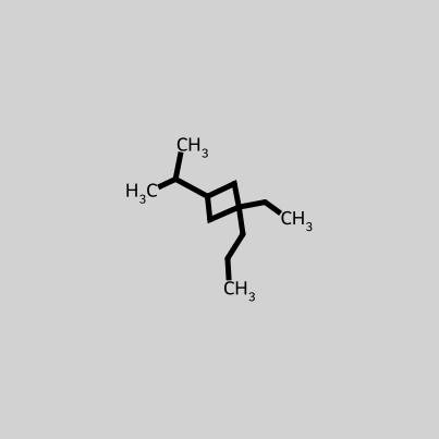 CCCC1(CC)CC(C(C)C)C1